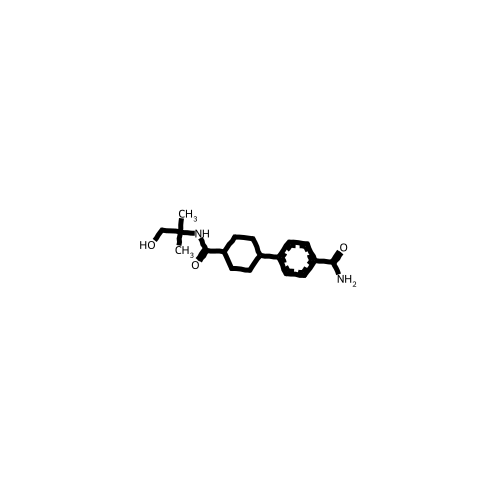 CC(C)(CO)NC(=O)C1CCC(c2ccc(C(N)=O)cc2)CC1